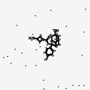 NC1CN(C(=O)CC2(c3ccc(F)cc3)C3CC4CC2CC(O)(C4)C3)C1